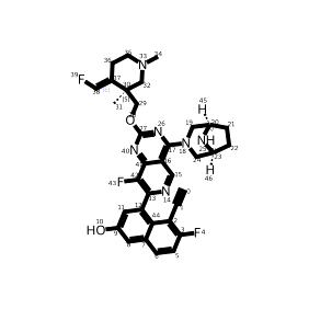 C#Cc1c(F)ccc2cc(O)cc(-c3ncc4c(N5C[C@H]6CC[C@@H](C5)N6)nc(OC[C@]5(C)CN(C)CC/C5=C\F)nc4c3F)c12